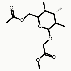 COC(=O)COC1OC(COC(C)=O)[C@@H](C)[C@H](C)C1C